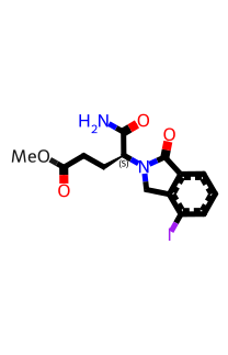 COC(=O)CC[C@@H](C(N)=O)N1Cc2c(I)cccc2C1=O